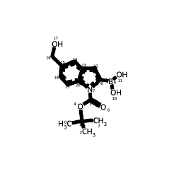 CC(C)(C)OC(=O)n1c(B(O)O)cc2cc(CO)ccc21